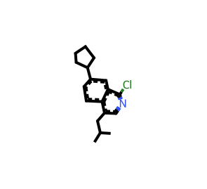 CC(C)Cc1cnc(Cl)c2cc(C3CCCC3)ccc12